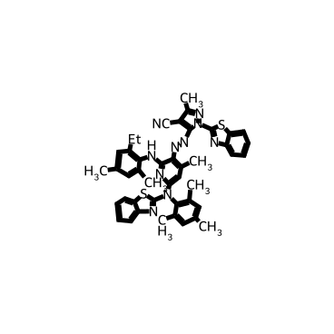 CCc1cc(C)cc(C)c1Nc1nc(N(c2nc3ccccc3s2)c2c(C)cc(C)cc2C)cc(C)c1N=Nc1c(C#N)c(C)nn1-c1nc2ccccc2s1